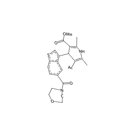 COC(=O)C1=C(C)NC(C)=C(C(C)=O)C1c1csc2ccc(C(=O)N3CCOCC3)cc12